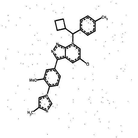 COc1cc(-c2nnc3n(C(c4ccc(C)cc4)C4CCC4)cc(Cl)cc2-3)ccc1-n1cnc(C)c1